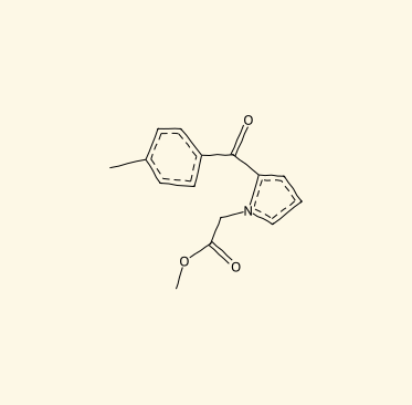 COC(=O)Cn1cccc1C(=O)c1ccc(C)cc1